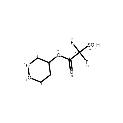 O=C(OC1CCOOC1)C(F)(F)S(=O)(=O)O